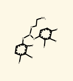 NCCOB(Oc1ccc(F)c(F)c1F)Oc1ccc(F)c(F)c1F